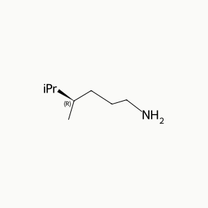 CC(C)[C@H](C)CCCN